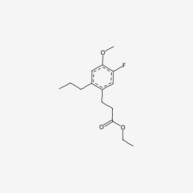 CCCc1cc(OC)c(F)cc1CCC(=O)OCC